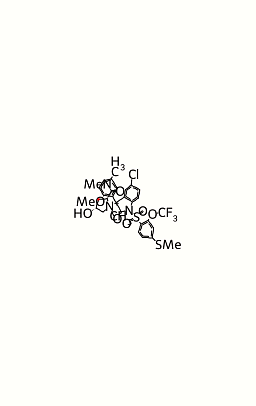 CNC(=O)[C@@H]1C[C@@H](O)C[N+]1(C)C1(c2cc(C)ccc2OC)C(=O)N(S(=O)(=O)c2ccc(SC)cc2OC(F)(F)F)c2ccc(Cl)cc21